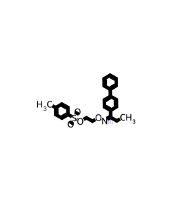 CC/C(=N/OCCOS(=O)(=O)c1ccc(C)cc1)c1ccc(-c2ccccc2)cc1